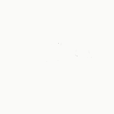 C=CCN1C(=O)C2CCC1(C(NC(=O)O)c1ccc(SCCC)cc1)CC2